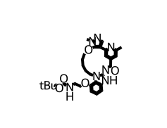 Cc1cc2cc(n1)-c1cnn(C)c1OCCCCCN1/C(=N/C2=O)Nc2cccc(OCCNC(=O)OC(C)(C)C)c21